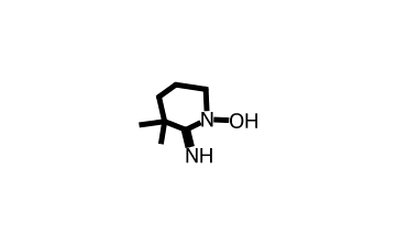 CC1(C)CCCN(O)C1=N